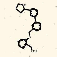 O=C(O)Cc1ccccc1OCc1cccc(-c2cccc(C3CCCN3)c2)c1